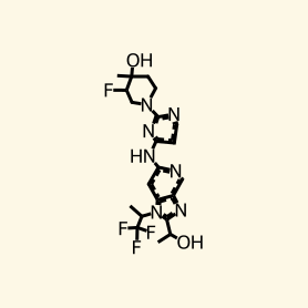 CC(O)c1nc2cnc(Nc3ccnc(N4CCC(C)(O)C(F)C4)n3)cc2n1C(C)C(F)(F)F